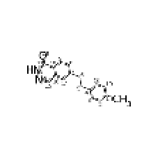 Cc1ccc(CCc2ccc3c(=O)[nH]ncc3c2)cc1